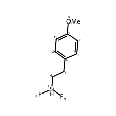 COc1ccc(CC[SiH](F)F)cc1